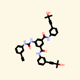 C#Cc1cccc(NC(=O)Nc2cc(C(=O)Nc3cccc(C#CC(C)(C)O)c3)cc(C(=O)Nc3cccc(C#CC(C)(C)O)c3)c2)c1